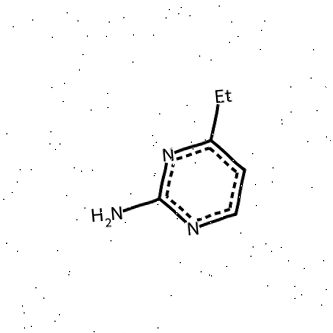 CCc1ccnc(N)n1